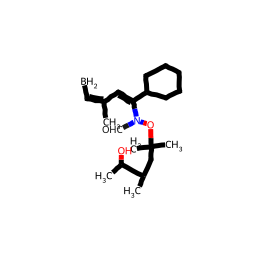 B/C=C(C)\C=C(\C1CCCCC1)N(C=O)OC(C)(C)CC(C)C(C)O